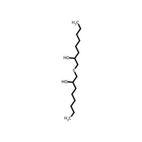 CCCCCCC(O)CSCC(O)CCCCCC